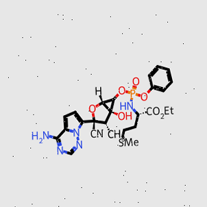 CCOC(=O)[C@H](CCSC)NP(=O)(Oc1ccccc1)OC1[C@H]2O[C@@](C#N)(c3ccc4c(N)ncnn34)[C@@H](C)[C@@]12O